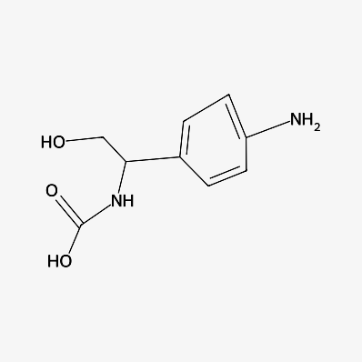 Nc1ccc(C(CO)NC(=O)O)cc1